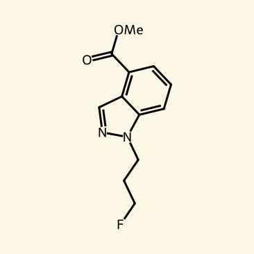 COC(=O)c1cccc2c1cnn2CCCF